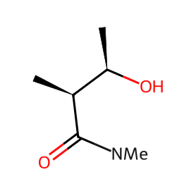 CNC(=O)[C@@H](C)[C@@H](C)O